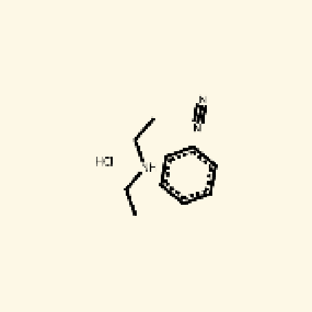 CCNCC.Cl.N#N.c1ccccc1